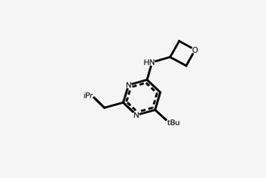 CC(C)Cc1nc(NC2COC2)cc(C(C)(C)C)n1